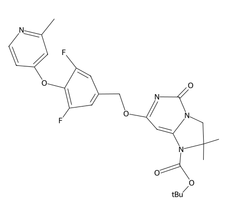 Cc1cc(Oc2c(F)cc(COc3cc4n(c(=O)n3)CC(C)(C)N4C(=O)OC(C)(C)C)cc2F)ccn1